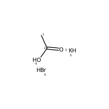 Br.CC(=O)O.[KH]